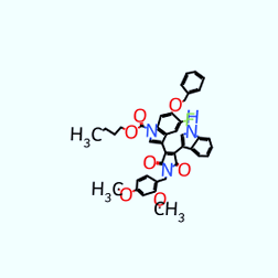 CCCCOC(=O)n1cc(C2=C(c3c[nH]c4ccccc34)C(=O)N(Cc3ccc(OC)cc3OC)C2=O)c2cc(F)c(OCc3ccccc3)cc21